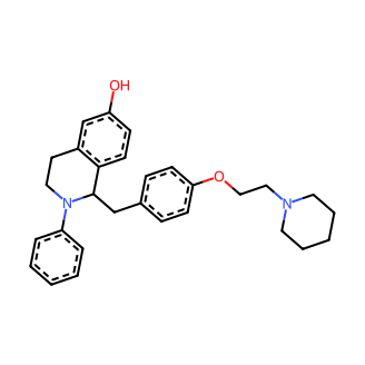 Oc1ccc2c(c1)CCN(c1ccccc1)C2Cc1ccc(OCCN2CCCCC2)cc1